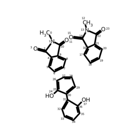 CN1C(=O)c2ccccc2C1=O.CN1C(=O)c2ccccc2C1=O.Oc1ccccc1-c1ccccc1O